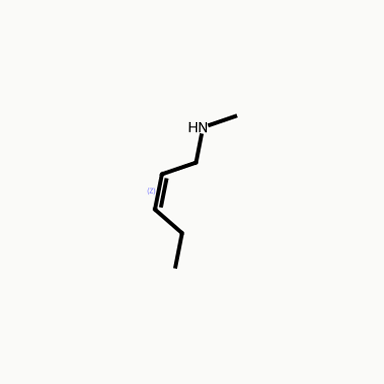 CC/C=C\CNC